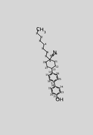 CCCCCCCCC1(C#N)CCC(c2ccc(-c3ccc(O)cc3)cc2)CC1